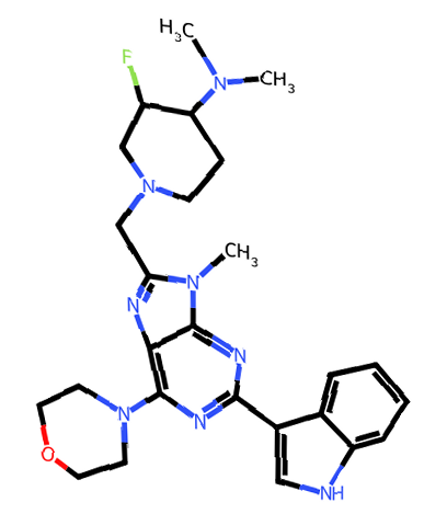 CN(C)C1CCN(Cc2nc3c(N4CCOCC4)nc(-c4c[nH]c5ccccc45)nc3n2C)CC1F